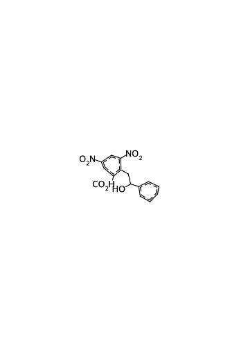 O=C(O)c1cc([N+](=O)[O-])cc([N+](=O)[O-])c1CC(O)c1ccccc1